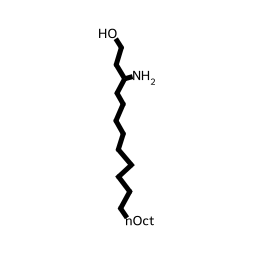 CCCCCCCCCCCCCCCCCC(N)CCO